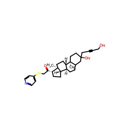 C[C@]12CC[C@H]3[C@@H](CCC4CC(O)(CC#CCO)CC[C@@]43C)[C@@H]1CC[C@@H]2C(=O)CSc1ccncc1